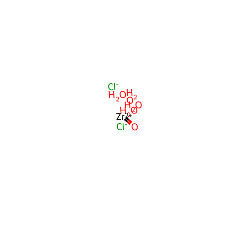 O.O.O.O.[Cl-].[Cl-].[O]=[Zr+2]